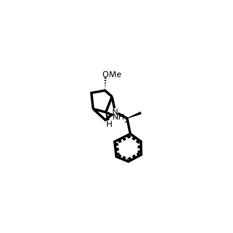 CO[C@H]1CC2CN([C@@H](C)c3ccccc3)C1[C@@H]2N